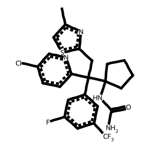 Cc1csc(CC(c2cc(F)cc(C(F)(F)F)c2)(c2ccc(Cl)cn2)C2(NC(N)=O)CCCC2)n1